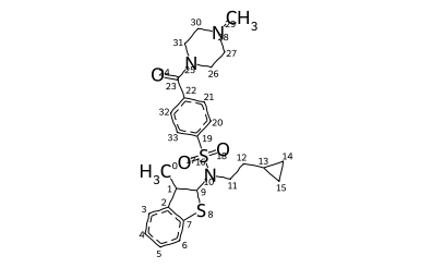 CC1c2ccccc2SC1N(CCC1CC1)S(=O)(=O)c1ccc(C(=O)N2CCN(C)CC2)cc1